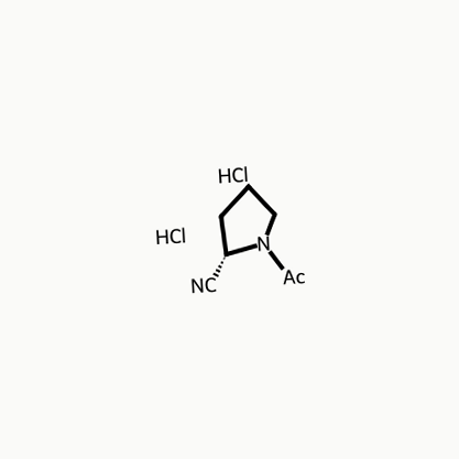 CC(=O)N1CCC[C@H]1C#N.Cl.Cl